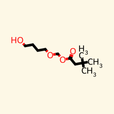 CC(C)(C)CC(=O)OCOCCCCO